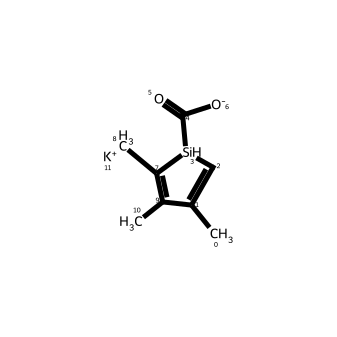 CC1=C[SiH](C(=O)[O-])C(C)=C1C.[K+]